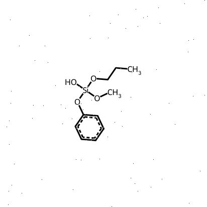 CCCO[Si](O)(OC)Oc1ccccc1